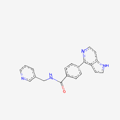 O=C(NCc1cccnc1)c1ccc(-c2nccc3[nH]ccc23)cc1